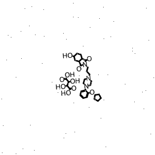 O=C(O)C(O)C(O)C(=O)O.O=C1C2CCC(O)CC2C(=O)N1CCCN1CCN(c2ccccc2OC2CCCC2)CC1